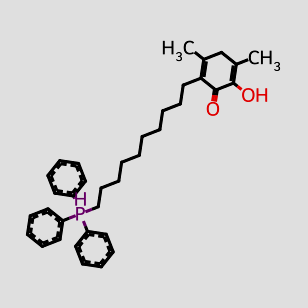 CC1=C(O)C(=O)C(CCCCCCCCCC[PH](c2ccccc2)(c2ccccc2)c2ccccc2)=C(C)C1